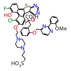 COc1ccccc1-c1nccc(COc2ccccc2CC(I)(Oc2ncnc3sc4c5ccc(F)c(O)c5c5c(Cl)c(OCCN6CCN(CCCS(=O)(=O)O)CC6)ccc5c4c23)C(=O)O)n1